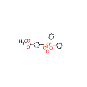 COC(=O)c1ccc(COP(=O)(OCc2ccccc2)OCc2ccccc2)cc1